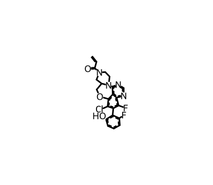 C=CC(=O)N1CCN2c3ncnc4c(F)c(-c5c(O)cccc5F)c(Cl)c(c34)OCC2C1